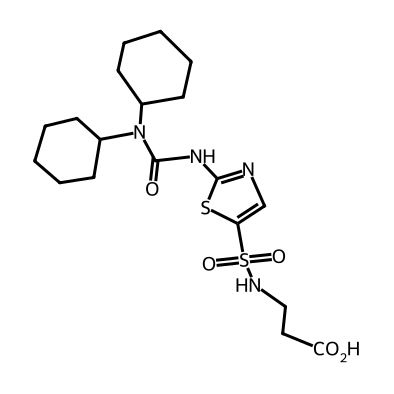 O=C(O)CCNS(=O)(=O)c1cnc(NC(=O)N(C2CCCCC2)C2CCCCC2)s1